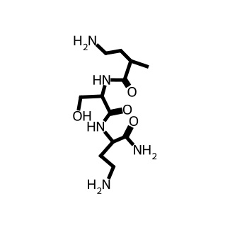 CC(CCN)C(=O)NC(CO)C(=O)NC(CCN)C(N)=O